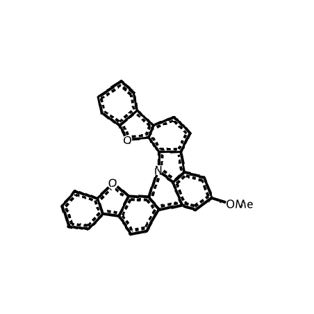 COc1cc2c3ccc4c5ccccc5oc4c3n3c2c(c1)c1ccc2c4ccccc4oc2c13